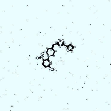 Cc1ccc([N+](=O)[O-])c(N2CCC(=Cc3noc(-c4ccco4)n3)CC2)n1